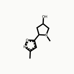 Cc1cc(C2CC(O)CN2C)on1